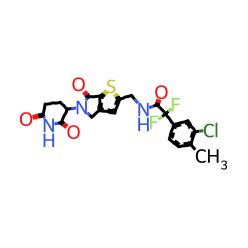 Cc1ccc(C(F)(F)C(=O)NCc2cc3c(s2)C(=O)N(C2CCC(=O)NC2=O)C3)cc1Cl